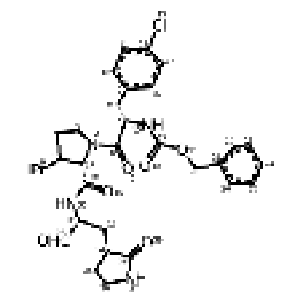 CC(C)C1CCN(C(=O)[C@H](Cc2ccc(Cl)cc2)NC(=O)OCc2ccccc2)[C@@H]1C(=O)N[C@H](C=O)C[C@@H]1CCNC1=O